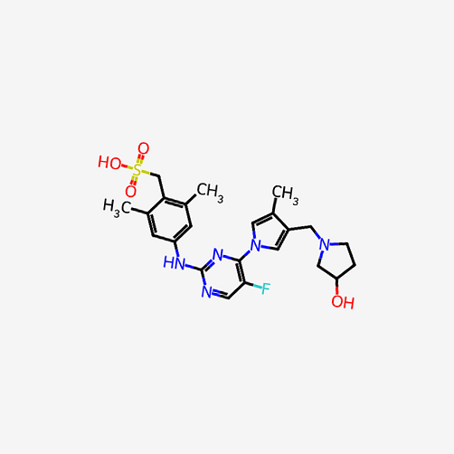 Cc1cn(-c2nc(Nc3cc(C)c(CS(=O)(=O)O)c(C)c3)ncc2F)cc1CN1CCC(O)C1